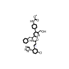 COC(=O)Nc1ccc(-c2cc([C@H](Cc3ccccc3)NC(=O)/C=C/c3cc(Cl)ccc3-n3cnnn3)nnc2CO)cc1